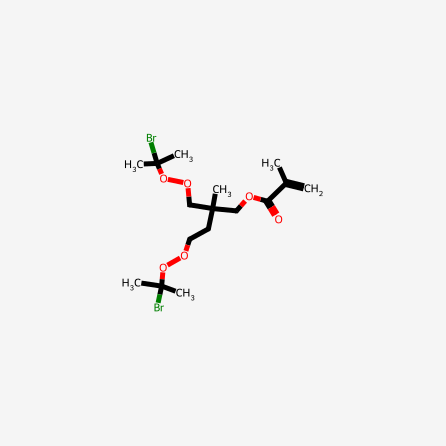 C=C(C)C(=O)OCC(C)(CCOOC(C)(C)Br)COOC(C)(C)Br